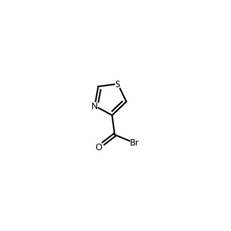 O=C(Br)c1cscn1